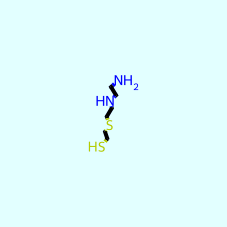 NCCNCCSCCS